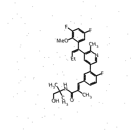 CC/C=C(\c1cc(-c2cc(/C=C(\C)C(=O)NC(C)(C)CO)ccc2F)cnc1C)c1cc(F)cc(F)c1OC